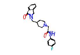 O=C(CN1CCC(CN2Cc3ccccc3C2=O)CC1)Nc1ccc(F)cc1